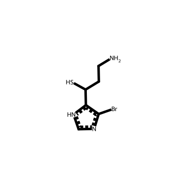 NCCC(S)c1[nH]cnc1Br